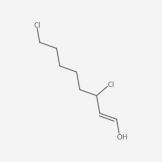 OC=CC(Cl)CCCCCCl